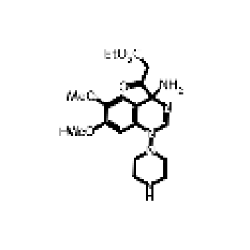 CCOC(=O)CC(=O)C1(N)N=CN(N2CCNCC2)c2cc(OC)c(OC)cc21.Cl